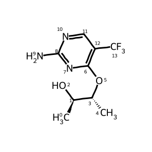 C[C@@H](O)[C@@H](C)Oc1nc(N)ncc1C(F)(F)F